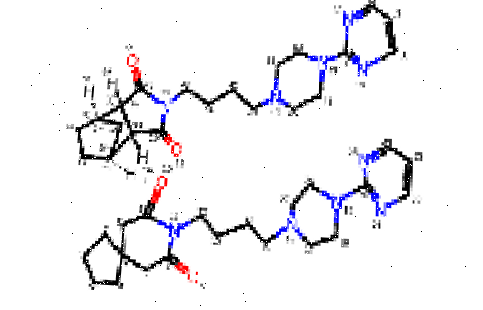 O=C1CC2(CCCC2)CC(=O)N1CCCCN1CCN(c2ncccn2)CC1.O=C1[C@@H]2[C@H]3CC[C@H](C3)[C@@H]2C(=O)N1CCCCN1CCN(c2ncccn2)CC1